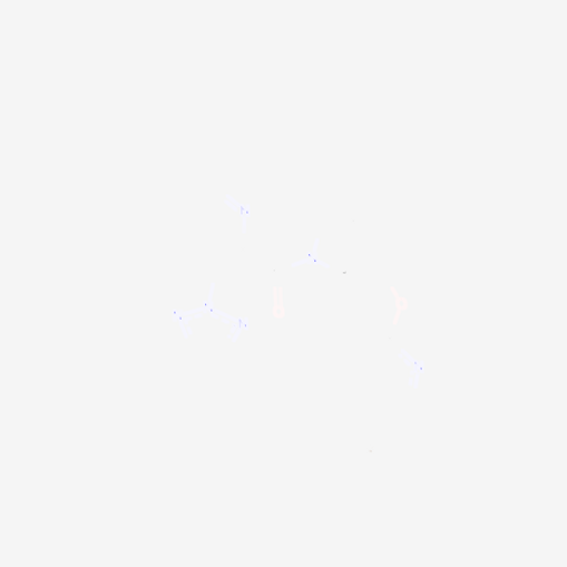 CC1=NC(C(=O)N2CC3CC(Oc4ccc(Br)cn4)C2C3)C(n2nccn2)C=C1